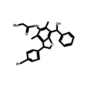 Cc1c(NC(=O)CC(C)(C)C)c(C)c2c(c1C(O)c1ccccc1)OCC2c1ccc(C(C)C)cc1